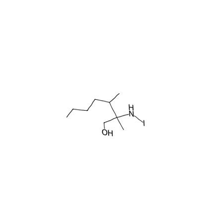 CCCCC(C)C(C)(CO)NI